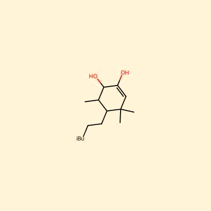 CCC(C)CCC1C(C)C(O)C(O)=CC1(C)C